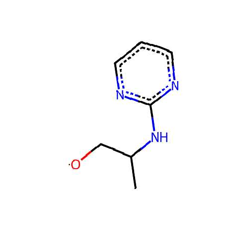 CC(C[O])Nc1ncccn1